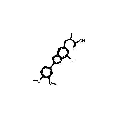 COc1ccc(-c2cc3cc(CC(C)C(=O)O)cc(O)c3o2)cc1OC